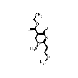 CCOC(=O)C1=C(O)N=C(CCOC)N(N)C1